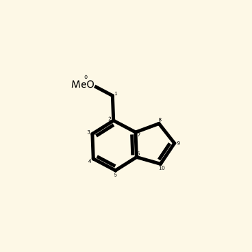 COCc1cccc2c1CC=C2